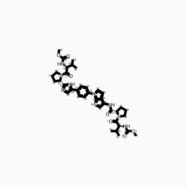 COC(=O)N[C@H](C(=O)N1CCC[C@H]1C(=O)Nc1csc2c1ccn2-c1ccc(-c2cnc([C@@H]3CCCN3C(=O)[C@@H](NC(=O)OC)C(C)C)[nH]2)cc1)C(C)C